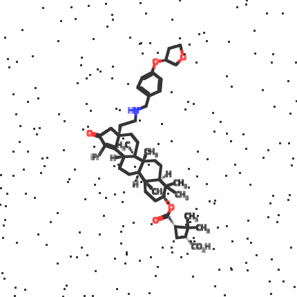 CC(C)C1=C2[C@H]3CC[C@@H]4[C@@]5(C)CC[C@H](OC(=O)[C@H]6C[C@@H](C(=O)O)C6(C)C)C(C)(C)[C@@H]5CC[C@@]4(C)[C@]3(C)CC[C@@]2(CCNCc2ccc(O[C@H]3CCOC3)cc2)CC1=O